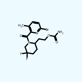 Cc1ccc(Br)nc1C(=O)N1CC(F)(F)CCC1CCOC(N)=O